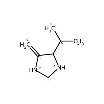 C=C1NCNC1C(C)C